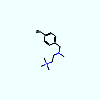 CN(CC[N+](C)(C)C)Cc1ccc(C(C)(C)C)cc1